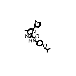 Cc1cc(-c2cccnc2)nc2c(C(=O)NC3CCC(OCC(C)C)CC3)cnn12